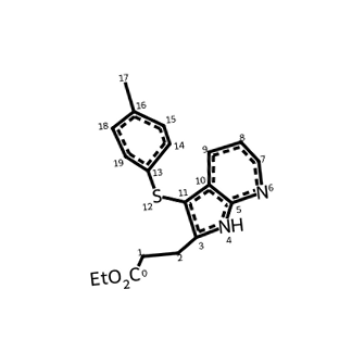 CCOC(=O)CCc1[nH]c2ncccc2c1Sc1ccc(C)cc1